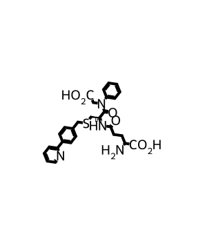 NC(CCC(=O)N[C@@H](CSCc1ccc(-c2ccccn2)cc1)C(=O)N(CC(=O)O)c1ccccc1)C(=O)O